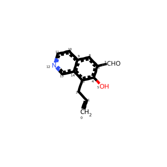 C=CCc1c(O)c(C=O)cc2ccncc12